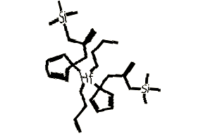 C=C(C[C]1([Hf]([CH2]CCC)([CH2]CCC)[C]2(CC(=C)C[Si](C)(C)C)C=CC=C2)C=CC=C1)C[Si](C)(C)C